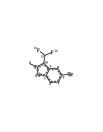 Cn1nc2ccc(Br)cc2c1C(F)F